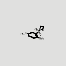 CNc1ccc(C(=O)O)cc1S(=O)(=O)N1CCC1